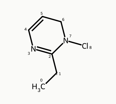 C[CH]C1=NC=CCN1Cl